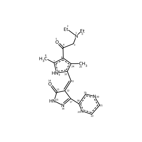 CCN(CC)CC(=O)c1c(C)[nH]c(C=C2C(=O)NN=C2c2cnccn2)c1C